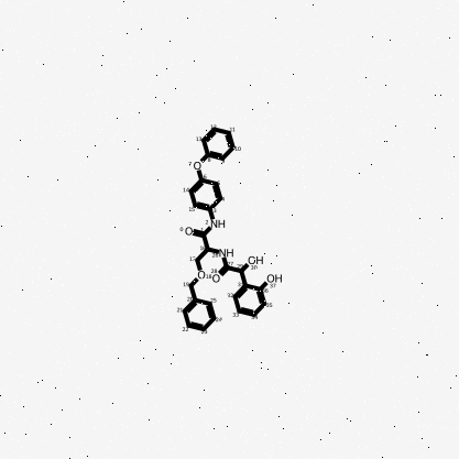 O=C(Nc1ccc(Oc2ccccc2)cc1)C(COCc1ccccc1)NC(=O)C(O)c1ccccc1O